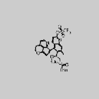 Cc1cc2nc(OS(=O)(=O)C(F)(F)F)ccc2c(-c2ccc3c4c(ccnc24)CCO3)c1[C@@H](COC(=O)C(C)(C)C)OC(C)(C)C